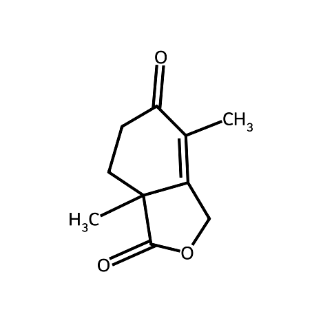 CC1=C2COC(=O)C2(C)CCC1=O